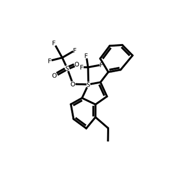 CCc1cccc2c1C=C(c1ccccc1)S2(OS(=O)(=O)C(F)(F)F)C(F)(F)F